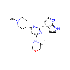 CC(=O)N1CCC(c2cc(N3CCOC[C@H]3C)nc(-c3ccnc4[nH]ccc34)n2)CC1